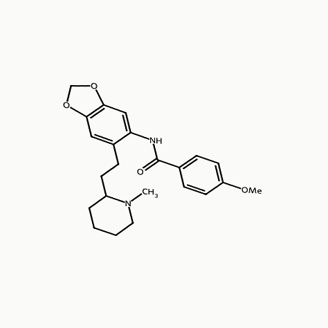 COc1ccc(C(=O)Nc2cc3c(cc2CCC2CCCCN2C)OCO3)cc1